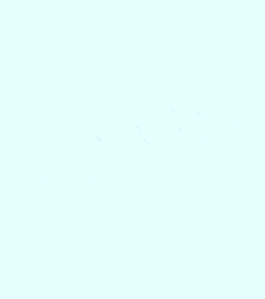 CC(Nc1nc2c([nH]1)C=NN(Cc1cc(-c3ccc(C(F)(F)F)cc3C(F)(F)F)no1)C2)c1ccccc1